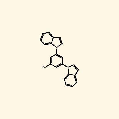 CCC(C)c1cc(-n2ccc3ccccc32)cc(-n2ccc3ccccc32)c1